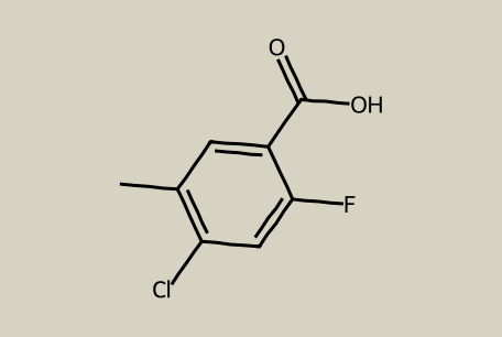 Cc1cc(C(=O)O)c(F)cc1Cl